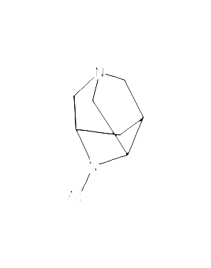 CC(=O)N1C2CC3CN(C2)CC31